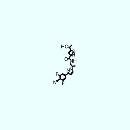 CC(O)c1cc(C(=O)NCC(C)n2ccc(-c3cc(F)c(C#N)c(F)c3)n2)no1